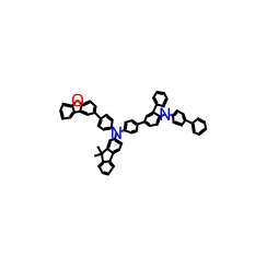 CC1(C)c2ccccc2-c2ccc(N(c3ccc(-c4ccc5oc6ccccc6c5c4)cc3)c3ccc(-c4ccc5c(c4)c4ccccc4n5-c4ccc(-c5ccccc5)cc4)cc3)cc21